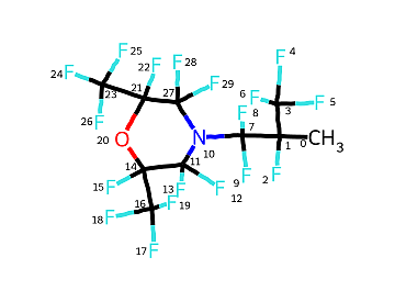 CC(F)(C(F)(F)F)C(F)(F)N1C(F)(F)C(F)(C(F)(F)F)OC(F)(C(F)(F)F)C1(F)F